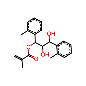 C=C(C)C(=O)OC(c1ccccc1C)C(O)C(O)c1ccccc1C